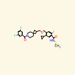 CSNC(=O)c1cc(C2CC2)c(COCC2CC3(CCN(C(=O)c4cc(F)cc(F)c4)CC3)C2)cc1F